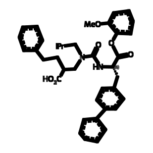 COc1ccccc1OC(=O)[C@H](Cc1ccc(-c2ccccc2)cc1)NC(=O)N(CC(C)C)CC(CCc1ccccc1)C(=O)O